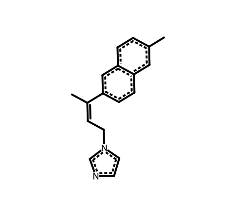 C/C(=C/Cn1ccnc1)c1ccc2cc(C)ccc2c1